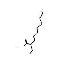 CCCCCCCCCCCCCCCCC(CC(=O)O)C(=O)OC